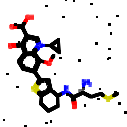 COc1c(-c2cc3c(s2)CCCC3NC(=O)[C@H](N)CCSC)ccc2c(=O)c(C(=O)O)cn(C3CC3)c12